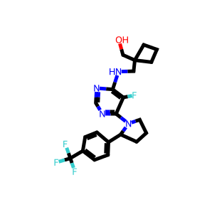 OCC1(CNc2ncnc(N3CCCC3c3ccc(C(F)(F)F)cc3)c2F)CCC1